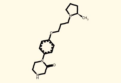 C[C@@H]1CCCN1CCCOc1ccc(N2CCNCC2=O)cc1